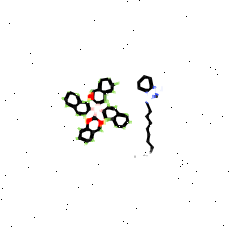 CCCCCCCCCCCCCCCCCCn1c[nH+]c2ccccc21.Fc1c(F)c(F)c2c(F)c([B-](c3c(F)c(F)c4c(F)c(F)c(F)c(F)c4c3F)(c3c(F)c(F)c4c(F)c(F)c(F)c(F)c4c3F)c3c(F)c(F)c4c(F)c(F)c(F)c(F)c4c3F)c(F)c(F)c2c1F